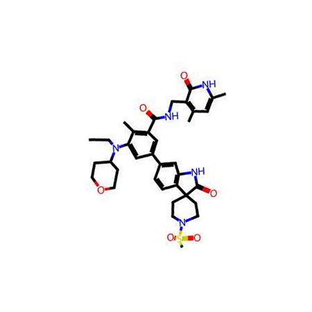 CCN(c1cc(-c2ccc3c(c2)NC(=O)C32CCN(S(C)(=O)=O)CC2)cc(C(=O)NCc2c(C)cc(C)[nH]c2=O)c1C)C1CCOCC1